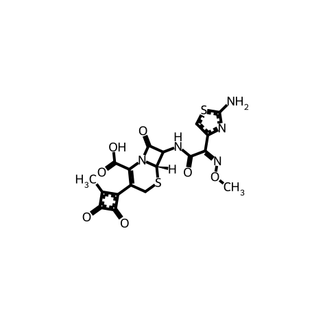 CO/N=C(\C(=O)NC1C(=O)N2C(C(=O)O)=C(c3c(C)c(=O)c3=O)CS[C@@H]12)c1csc(N)n1